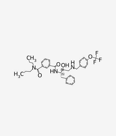 CCCN(CCC)C(=O)c1cccc(C(=O)N[C@@H](Cc2ccccc2)[C@H](O)CNCc2ccc(OC(F)(F)F)cc2)c1